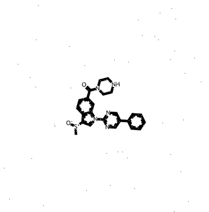 C[S+]([O-])c1cn(-c2ncc(-c3ccccc3)cn2)c2cc(C(=O)N3CCNCC3)ccc12